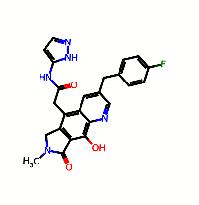 CN1Cc2c(c(O)c3ncc(Cc4ccc(F)cc4)cc3c2CC(=O)Nc2ccn[nH]2)C1=O